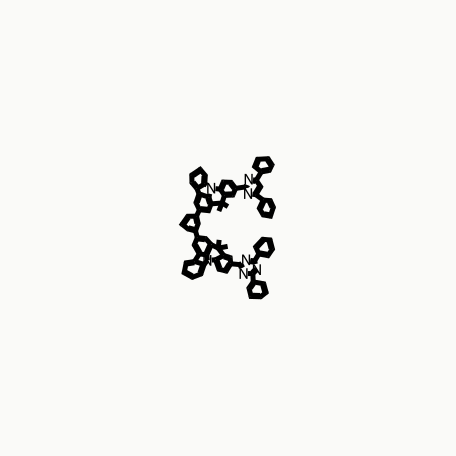 CC1(C)c2cc(-c3nc(-c4ccccc4)cc(-c4ccccc4)n3)ccc2-n2c3ccccc3c3cc(-c4cccc(-c5cc6c7c(c5)c5ccccc5n7-c5ccc(-c7nc(-c8ccccc8)nc(-c8ccccc8)n7)cc5C6(C)C)c4)cc1c32